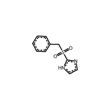 O=S(=O)(Cc1ccccc1)c1ncc[nH]1